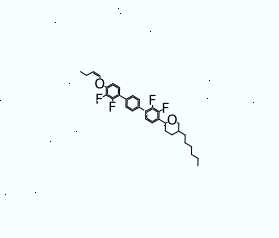 CC/C=C\Oc1ccc(-c2ccc(-c3ccc(C4CCC(CCCCCC)CO4)c(F)c3F)cc2)c(F)c1F